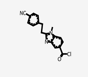 Cn1c(CCc2ccc(C#N)cc2)nc2cc(C(=O)Cl)ccc21